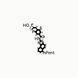 CCCCCc1cccc2c1ccc1sc(NC(=O)c3cc(F)c(C=C(C)C(=O)O)c(F)c3)nc12